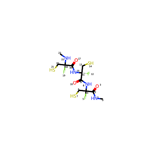 CNC(=O)C(F)(CS)NC(=O)[C@](F)(CS)NC(=O)[C@](F)(CS)NC